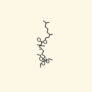 CCO[Si](CCCSC(C)(C)C(=O)OCCC(C)CCCC(C)C)(OCC)OCC